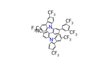 N#Cc1ccc(-n2c3ccc(C(F)(F)F)cc3c3cc(C(F)(F)F)ccc32)c(-c2ccc(-c3cc(C(F)(F)F)cc(C(F)(F)F)c3)cc2-n2c3ccc(C(F)(F)F)cc3c3cc(C(F)(F)F)ccc32)c1